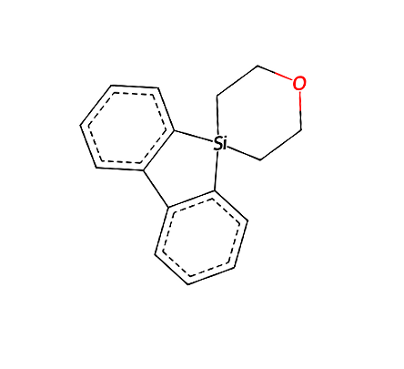 c1ccc2c(c1)-c1ccccc1[Si]21CCOCC1